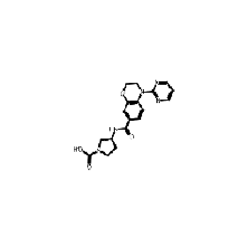 O=C(NC1CCN(C(=O)O)C1)c1ccc2c(c1)OCCN2c1ncccn1